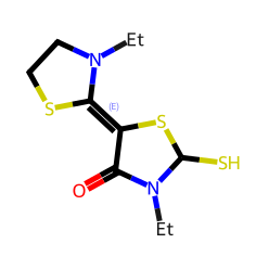 CCN1CCS/C1=C1/SC(S)N(CC)C1=O